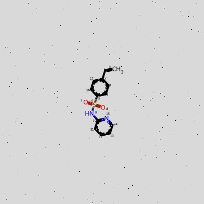 C=Cc1ccc(S(=O)(=O)Nc2ccccn2)cc1